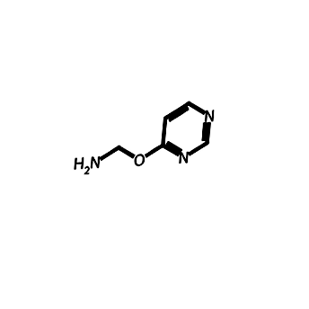 NCOc1ccncn1